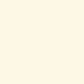 CCOC(=O)C(Cc1ccc(OC)cc1)C(=O)OCC